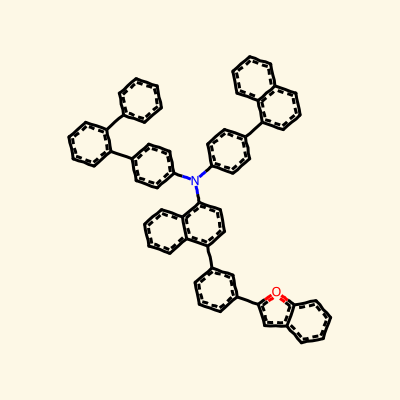 c1ccc(-c2ccccc2-c2ccc(N(c3ccc(-c4cccc5ccccc45)cc3)c3ccc(-c4cccc(-c5cc6ccccc6o5)c4)c4ccccc34)cc2)cc1